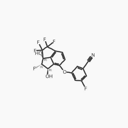 N#Cc1cc(F)cc(Oc2ccc3c4c2[C@@H](O)[C@H](F)[C@@]4(O)C(F)(F)C3(F)F)c1